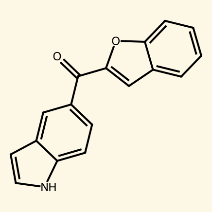 O=C(c1ccc2[nH]ccc2c1)c1cc2ccccc2o1